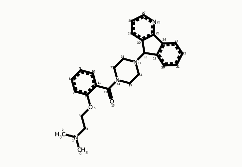 CN(C)CCOc1ccccc1C(=O)N1CCN(C2c3ccccc3-c3ncccc32)CC1